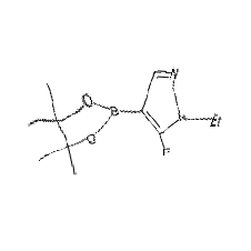 CCn1ncc(B2OC(C)(C)C(C)(C)O2)c1F